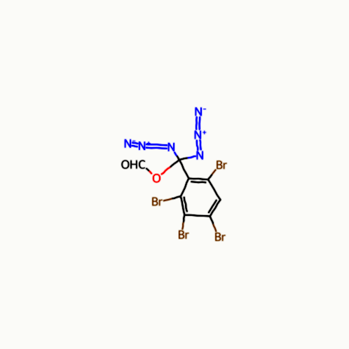 [N-]=[N+]=NC(N=[N+]=[N-])(OC=O)c1c(Br)cc(Br)c(Br)c1Br